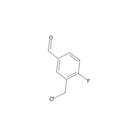 O=Cc1ccc(F)c(CCl)c1